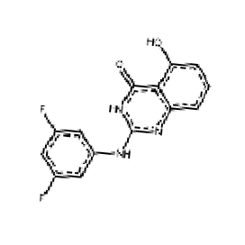 O=c1[nH]c(Nc2cc(F)cc(F)c2)nc2cccc(O)c12